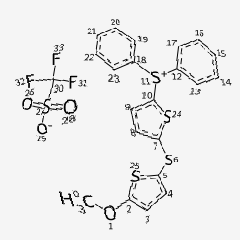 COc1ccc(Sc2ccc([S+](c3ccccc3)c3ccccc3)s2)s1.O=S(=O)([O-])C(F)(F)F